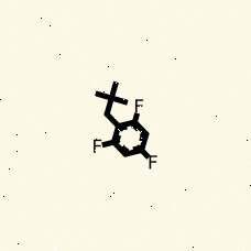 CC(C)(C)Cc1c(F)cc(F)cc1F